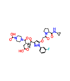 O=C(O)C[C@H]([AsH]C(=O)c1cc(OCC(=O)N2CCC[C@H]2C(=O)NC2CC2)n(-c2cccc(F)c2)n1)C(=O)N1CCN(C(=O)O)CC1